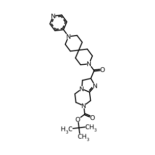 CC(C)(C)OC(=O)N1CCN2CC(C(=O)N3CCC4(CC3)CCN(c3ccncc3)CC4)N=C2C1